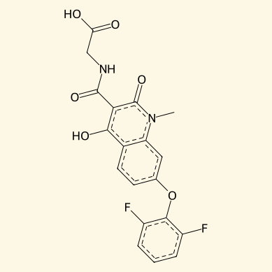 Cn1c(=O)c(C(=O)NCC(=O)O)c(O)c2ccc(Oc3c(F)cccc3F)cc21